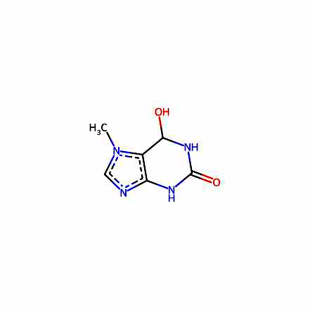 Cn1cnc2c1C(O)NC(=O)N2